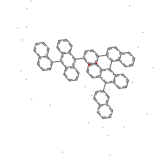 c1ccc2cc(-c3c4ccccc4c(-c4c(-c5ccc(-c6c7ccccc7c(-c7cccc8ccccc78)c7ccccc67)cc5)ccc5ccccc45)c4ccccc34)ccc2c1